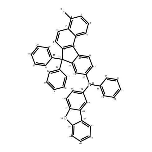 Fc1cccc2c3c(ccc12)C(c1ccccc1)(c1ccccc1)c1cc(N(c2ccccc2)c2ccc4oc5ccccc5c4c2)ccc1-3